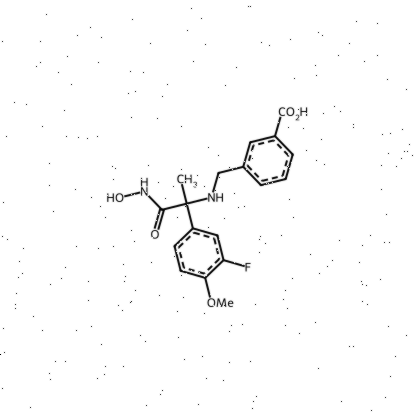 COc1ccc(C(C)(NCc2cccc(C(=O)O)c2)C(=O)NO)cc1F